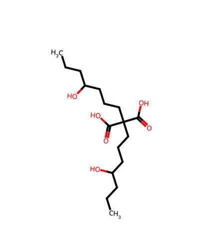 CCCC(O)CCCC(CCCC(O)CCC)(C(=O)O)C(=O)O